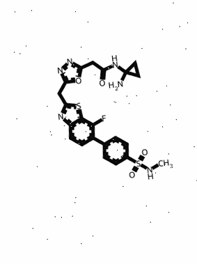 CNS(=O)(=O)c1ccc(-c2ccc3nc(Cc4nnc(CC(=O)NC5(N)CC5)o4)sc3c2F)cc1